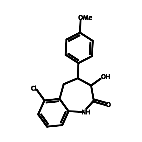 COc1ccc(C2Cc3c(Cl)cccc3NC(=O)C2O)cc1